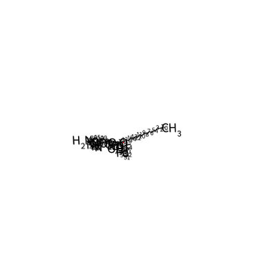 CCCCCCCCCCCCCCCCCCOC[C@H](COP(=O)(O)OC[C@@H]1CC[C@](C#N)(c2ccc3c(N)ncnn23)O1)OCc1c(F)cccc1F